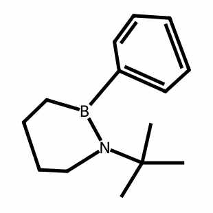 CC(C)(C)N1CCCCB1c1ccccc1